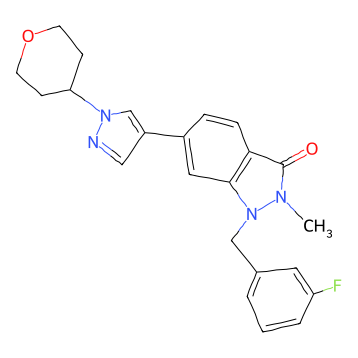 Cn1c(=O)c2ccc(-c3cnn(C4CCOCC4)c3)cc2n1Cc1cccc(F)c1